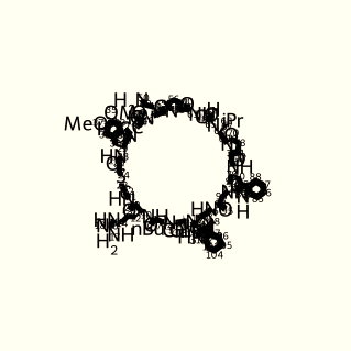 CCCC[C@H]1C(=O)N(C)[C@@H](CCCC)C(=O)N[C@@H](CCCNC(=N)N)C(=O)NCCSCC(=O)N[C@@H](Cc2ccc(OC)c(OC)c2)C(=O)N(C)CC(=O)N[C@@H](CC(N)=O)C(=O)N2CCCC2C(=O)NCC(=O)N[C@@H](CC(C)C)C(=O)N2CCC[C@H]2C(=O)N[C@@H](Cc2c[nH]c3ccccc23)C(=O)NCC(=O)N[C@@H](Cc2c[nH]c3ccccc23)C(=O)N1C